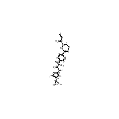 C=CC(=O)N1CCC=C(c2ccc(C(F)(F)C(=O)Nc3cc(C4CC4)[nH]n3)cn2)C1